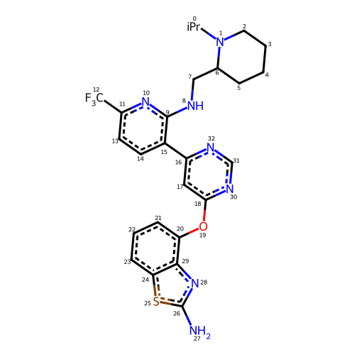 CC(C)N1CCCCC1CNc1nc(C(F)(F)F)ccc1-c1cc(Oc2cccc3sc(N)nc23)ncn1